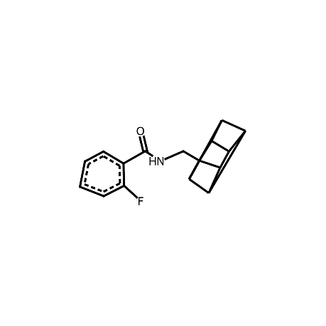 O=C(NCC12C3C4C5C3C1C5C42)c1ccccc1F